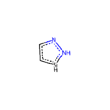 c1c[siH][nH]n1